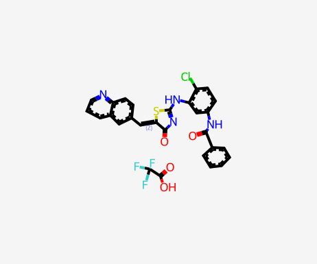 O=C(O)C(F)(F)F.O=C1N=C(Nc2cc(NC(=O)c3ccccc3)ccc2Cl)S/C1=C\c1ccc2ncccc2c1